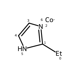 CCc1ncc[nH]1.[Co]